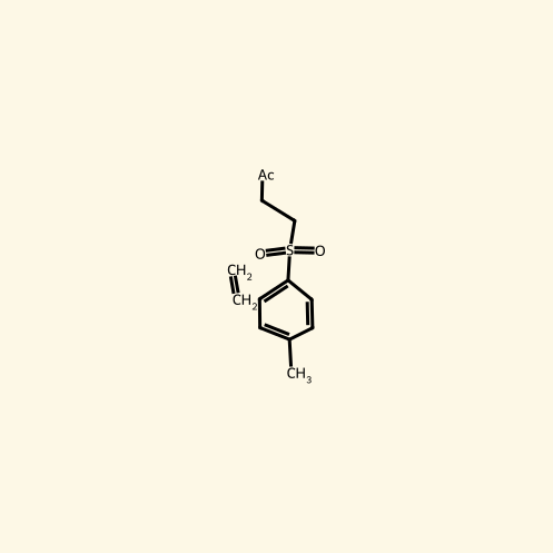 C=C.CC(=O)CCS(=O)(=O)c1ccc(C)cc1